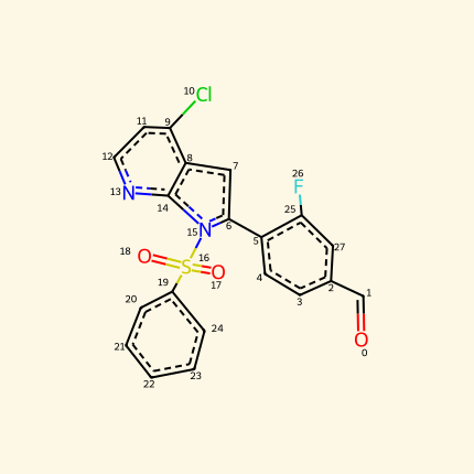 O=Cc1ccc(-c2cc3c(Cl)ccnc3n2S(=O)(=O)c2ccccc2)c(F)c1